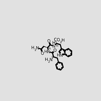 NC(=O)C[C@H](NC(=O)[C@@H](N)Cc1ccccc1)C(=O)N[C@@H](Cc1c[nH]c2ccccc12)C(=O)O